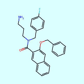 NCCCN(Cc1ccc(F)cc1)C(=O)c1cc2ccccc2cc1OCc1ccccc1